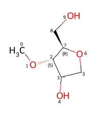 CO[C@H]1[C](O)CO[C@@H]1CO